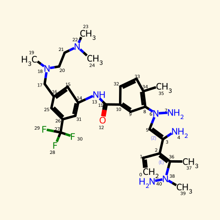 C=CC(/C(N)=C/N(N)c1cc(C(=O)Nc2cc(CN(C)CCN(C)C)cc(C(F)(F)F)c2)ccc1C)=C(/C)N(C)N